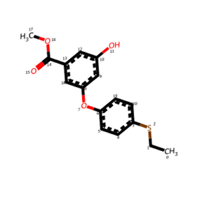 CCSc1ccc(Oc2cc(O)cc(C(=O)OC)c2)cc1